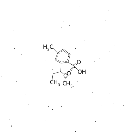 CCC(OC)c1cc(C)ccc1S(=O)(=O)O